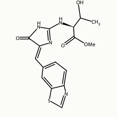 COC(=O)[C@@H](NC1=N/C(=C\c2ccc3ncsc3c2)C(=O)N1)C(C)O